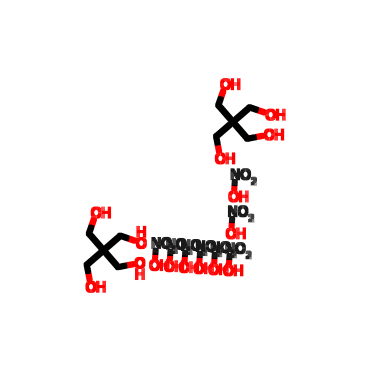 O=[N+]([O-])O.O=[N+]([O-])O.O=[N+]([O-])O.O=[N+]([O-])O.O=[N+]([O-])O.O=[N+]([O-])O.O=[N+]([O-])O.O=[N+]([O-])O.OCC(CO)(CO)CO.OCC(CO)(CO)CO